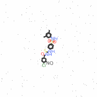 Cc1cc(C)cc(NS(=O)(=O)c2ccc(NC(=S)NC(=O)c3ccc(Cl)c(N=O)c3)cc2)c1